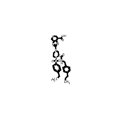 CCCc1ccc(CNC(=O)[C@H]2CN(c3nc4c(C(=O)O)cncc4s3)CCN2S(=O)(=O)c2ccc(CC)cc2)cc1